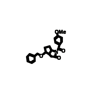 COc1ccc(C(=O)N2C(=O)CC3C(OCc4ccccc4)CCC32)cc1